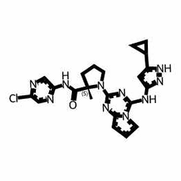 C[C@@]1(C(=O)Nc2cnc(Cl)cn2)CCCN1c1nc(Nc2cc(C3CC3)[nH]n2)n2cccc2n1